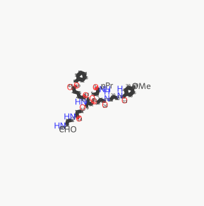 CCCNC(=O)CCOCC(COCCC(=O)NCCCNC=O)(COCCC(=O)NCCCNC(=O)c1ccc(OC)cc1)NC(=O)CCCC(=O)OCc1ccccc1